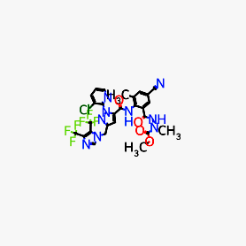 COC(=O)N(C)NC(=O)c1cc(C#N)cc(C)c1NC(=O)c1cc(Cn2cnc(C(F)(F)F)c2C(F)(F)F)nn1-c1ncccc1Cl